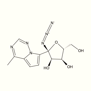 Cc1ncnn2c([C@]3(N=[N+]=[N-])O[C@H](CO)[C@@H](O)[C@H]3O)ccc12